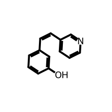 Oc1cccc(/C=C\c2cccnc2)c1